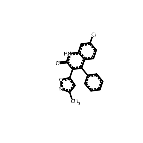 Cc1cc(-c2c(-c3ccccc3)c3ccc(Cl)cc3[nH]c2=O)on1